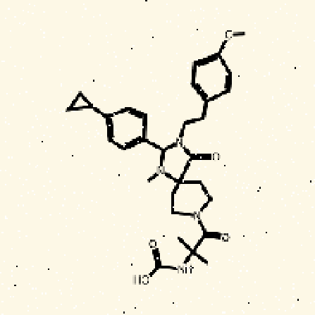 COc1ccc(CCN2C(=O)C3(CCN(C(=O)C(C)(C)NC(=O)O)CC3)N(C)C2c2ccc(C3CC3)cc2)cc1